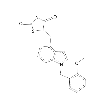 COc1ccccc1Cn1ccc2c(CC3SC(=O)NC3=O)cccc21